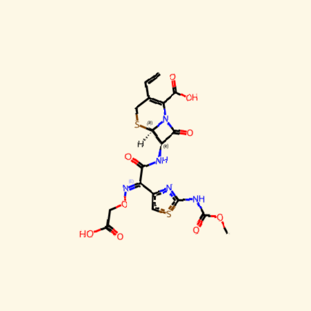 [CH2]OC(=O)Nc1nc(/C(=N\OCC(=O)O)C(=O)N[C@@H]2C(=O)N3C(C(=O)O)=C(C=C)CS[C@H]23)cs1